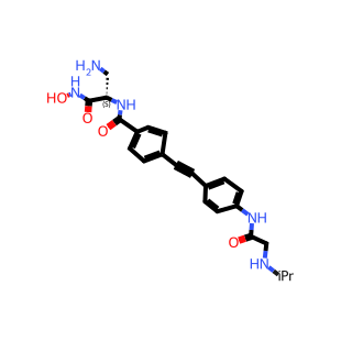 CC(C)NCC(=O)Nc1ccc(C#Cc2ccc(C(=O)N[C@@H](CN)C(=O)NO)cc2)cc1